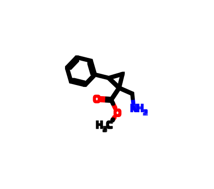 COC(=O)C1(CN)CC1c1ccccc1